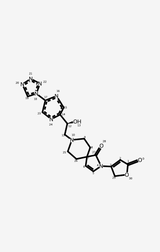 O=C1C=C(N2C=CC3(CCN(C[C@H](O)c4cnc(-n5cnnn5)cn4)CC3)C2=O)CO1